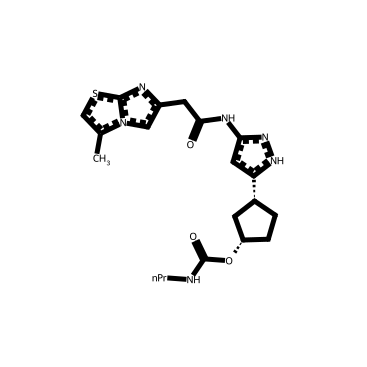 CCCNC(=O)O[C@H]1CC[C@@H](c2cc(NC(=O)Cc3cn4c(C)csc4n3)n[nH]2)C1